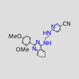 COc1ccc(-c2nc(NCCNc3ccc(C#N)cn3)c3c(n2)=CCCC=3)c(OC)c1